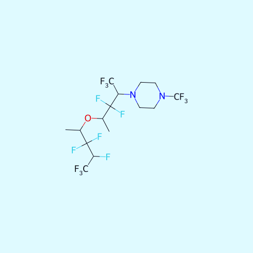 CC(OC(C)C(F)(F)C(N1CCN(C(F)(F)F)CC1)C(F)(F)F)C(F)(F)C(F)C(F)(F)F